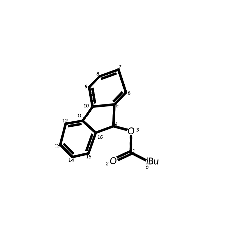 CCC(C)C(=O)OC1c2ccccc2-c2ccccc21